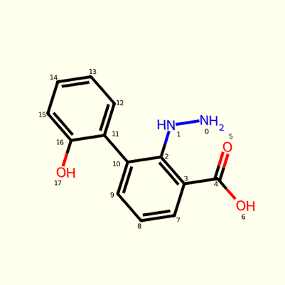 NNc1c(C(=O)O)cccc1-c1ccccc1O